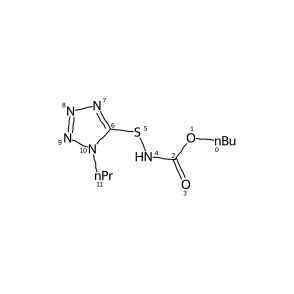 CCCCOC(=O)NSc1nnnn1CCC